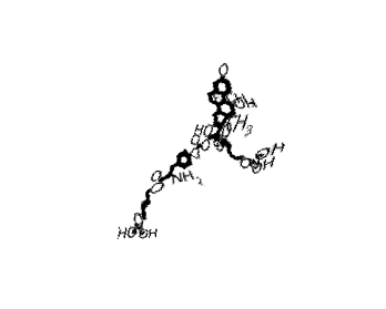 C[C@]12C=CC(=O)C=C1CCC1C3C[C@@H](O)[C@](OC(=O)CCCON(O)O)(C(=O)COC(=O)Oc4ccc(C[C@H](N)C(=O)OCCCCON(O)O)cc4)[C@@]3(C)C[C@H](O)[C@@]12F